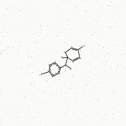 CC(c1ccc(F)cc1)C1(C)C=CC(F)=CC1